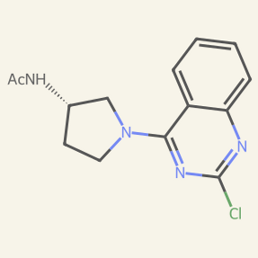 CC(=O)N[C@H]1CCN(c2nc(Cl)nc3ccccc23)C1